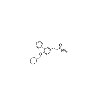 NC(=O)CCc1ccc(OCC2CCCCC2)c(-c2ccccc2)c1